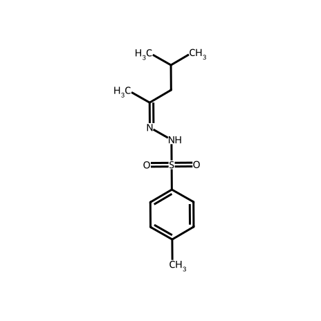 CC(CC(C)C)=NNS(=O)(=O)c1ccc(C)cc1